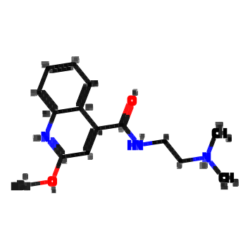 CCCCOc1cc(C(=O)NCCN(C)C)c2ccccc2n1